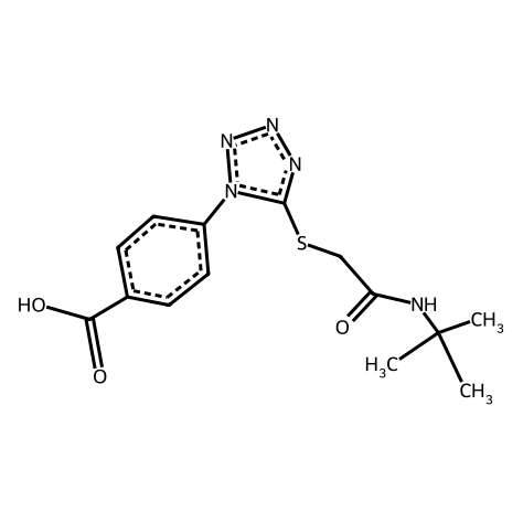 CC(C)(C)NC(=O)CSc1nnnn1-c1ccc(C(=O)O)cc1